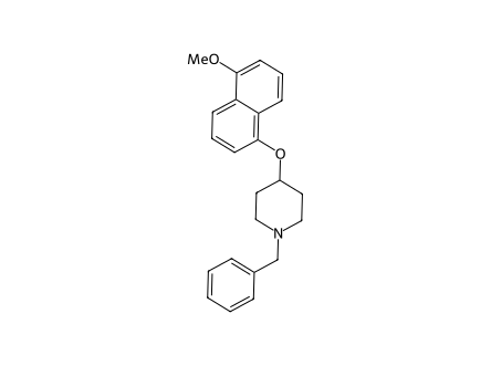 COc1cccc2c(OC3CCN(Cc4ccccc4)CC3)cccc12